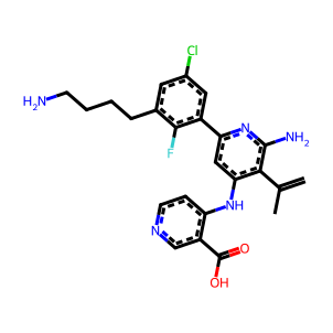 C=C(C)c1c(Nc2ccncc2C(=O)O)cc(-c2cc(Cl)cc(CCCCN)c2F)nc1N